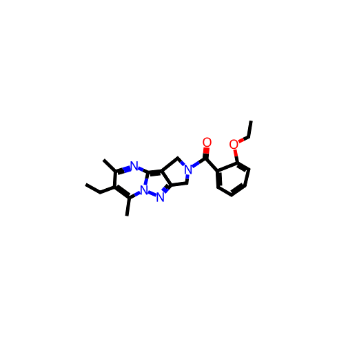 CCOc1ccccc1C(=O)N1Cc2nn3c(C)c(CC)c(C)nc3c2C1